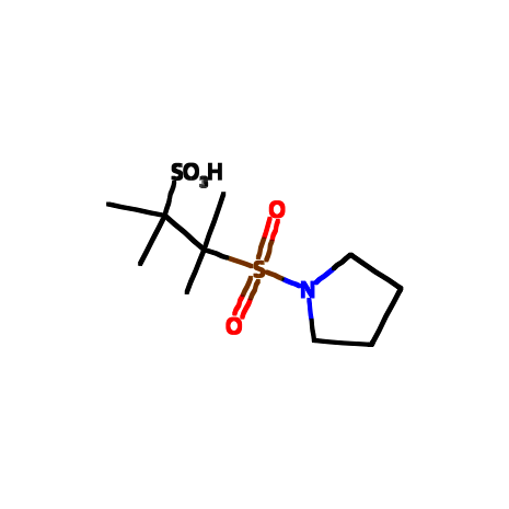 CC(C)(C(C)(C)S(=O)(=O)N1CCCC1)S(=O)(=O)O